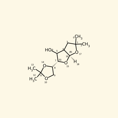 CC1(C)CC2C(O)[C@@H](C3COC(C)(C)O3)O[C@@H]2O1